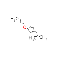 CCCCOc1ccc(C[C](C)C)cc1